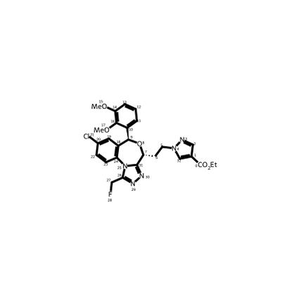 CCOC(=O)c1cnn(CC[C@H]2O[C@H](c3cccc(OC)c3OC)c3cc(Cl)ccc3-n3c(CF)nnc32)c1